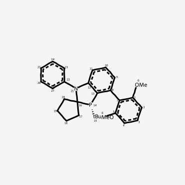 COc1cccc(OC)c1-c1cccc2c1[P@](C(C)(C)C)C1(CCCC1)N2c1ccccc1